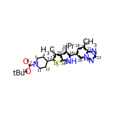 Cc1c(C2CCN(C(=O)OC(C)(C)C)CC2)sc2[nH]c(-c3cc(C)c4ncnn4c3)c(C(C)C)c12